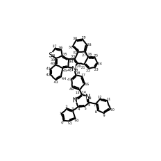 c1ccc(-c2cc(-c3ccccc3)nc(-c3ccc(-n4c5c6ccccc6c6ccccc6c5c5c6ccsc6c6ccccc6c54)cc3)n2)cc1